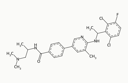 Cc1cc(-c2ccc(C(=O)NC(C)CN(C)C)cc2)cnc1NC(C)c1c(Cl)ccc(F)c1Cl